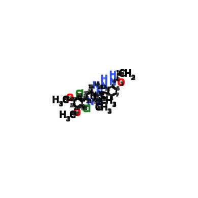 C=CC(=O)Nc1cccc(C)c1Nc1ncc2cc(-c3c(Cl)c(OC)cc(OC)c3Cl)nc(N(C)C)c2n1